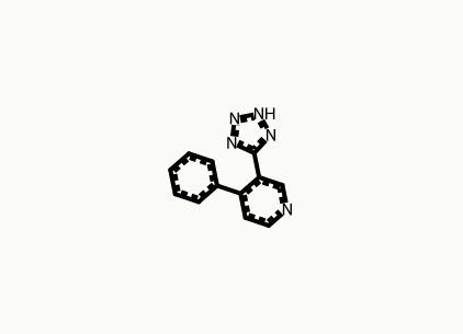 c1ccc(-c2ccncc2-c2nn[nH]n2)cc1